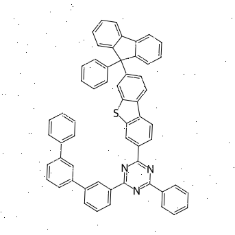 c1ccc(-c2cccc(-c3cccc(-c4nc(-c5ccccc5)nc(-c5ccc6c(c5)sc5cc(C7(c8ccccc8)c8ccccc8-c8ccccc87)ccc56)n4)c3)c2)cc1